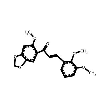 COc1cc2c(cc1C(=O)C=Cc1cccc(OC)c1OC)SCO2